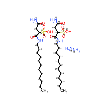 CCCCCCCCCCCCNC(=O)C(CC(N)=O)S(=O)(=O)O.CCCCCCCCCCCCNC(=O)C(CC(N)=O)S(=O)(=O)O.N.N